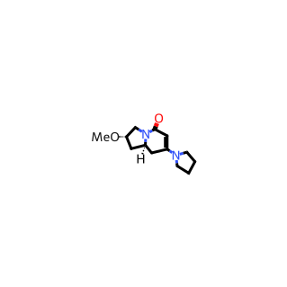 CO[C@H]1C[C@@H]2CC(N3CCCC3)=CC(=O)N2C1